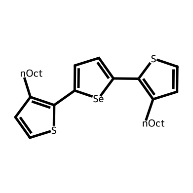 CCCCCCCCc1ccsc1-c1ccc(-c2sccc2CCCCCCCC)[se]1